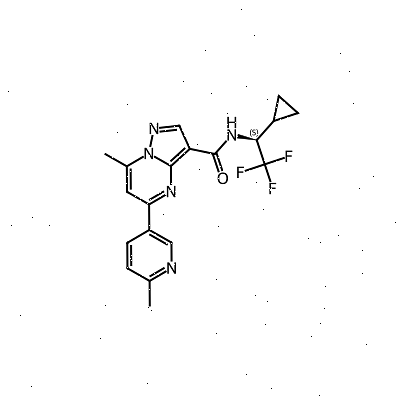 Cc1ccc(-c2cc(C)n3ncc(C(=O)N[C@@H](C4CC4)C(F)(F)F)c3n2)cn1